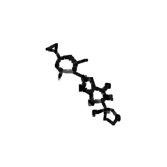 Cc1cc(C2CC2)cc(C)c1-n1cc2c(=O)[nH]c([C@@]3(F)CCOC3)nc2n1